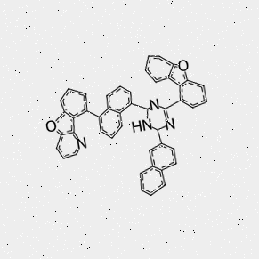 c1ccc2cc(C3N=C(c4cccc5oc6ccccc6c45)N=C(c4cccc5c(-c6cccc7oc8cccnc8c67)cccc45)N3)ccc2c1